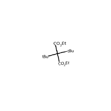 CCOC(=O)C(C(=O)OCC)(C(C)(C)C)C(C)(C)C